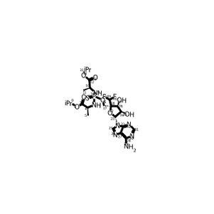 CC(C)OC(=O)[C@H](C)NP(=S)(N[C@@H](C)C(=O)OC(C)C)OC[C@@]1(C(F)F)O[C@@H](n2cnc3c(N)ncnc32)[C@H](O)[C@@H]1O